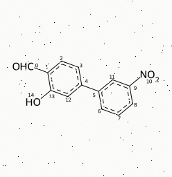 O=Cc1ccc(-c2cccc([N+](=O)[O-])c2)cc1O